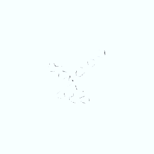 CC1(C)c2ccccc2-c2ccc(N(c3ccc(-c4ccc(-c5ccccc5)cc4)cc3)c3ccc4c(c3)C(C)(C)c3cccc5ccc(-c6ccccc6)c-4c35)cc21